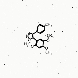 COc1cc(OC)c(-c2oncc2-c2ccc(C)cc2)cc1OC